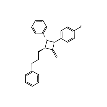 O=C1[C@@H](CCCc2ccccc2)[C@H](c2ccccc2)N1c1ccc(F)cc1